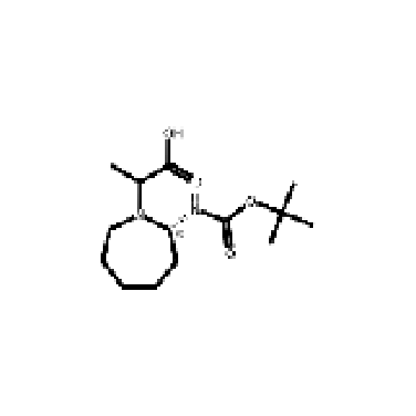 CC(C(=O)O)N1CCCCC[C@H]1NC(=O)OC(C)(C)C